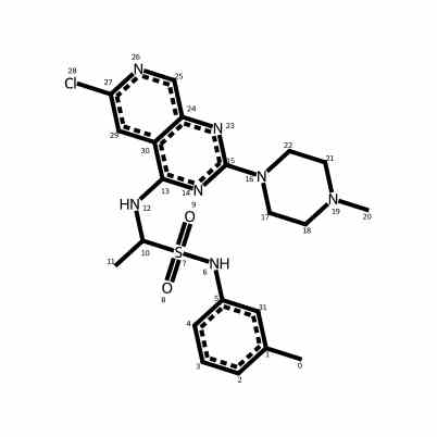 Cc1cccc(NS(=O)(=O)C(C)Nc2nc(N3CCN(C)CC3)nc3cnc(Cl)cc23)c1